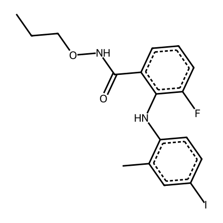 CCCONC(=O)c1cccc(F)c1Nc1ccc(I)cc1C